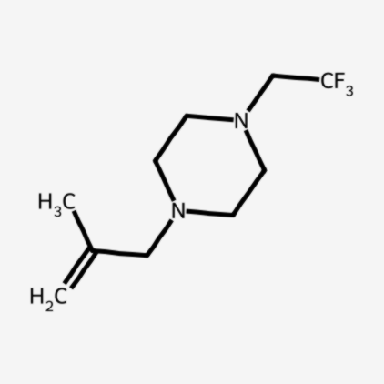 C=C(C)CN1CCN(CC(F)(F)F)CC1